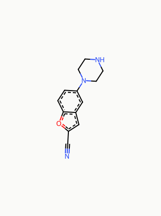 N#Cc1cc2cc(N3CCNCC3)ccc2o1